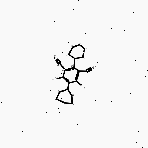 N#Cc1c(F)c(C2CCCCC2)c(F)c(C#N)c1C1CCCCC1